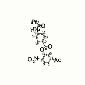 CC(=O)c1ccc([N+](=O)[O-])c(OC(=O)c2ccc(NC(=O)C(C)C)cc2)c1